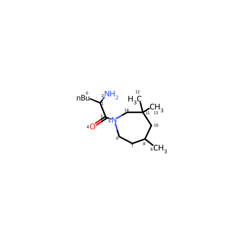 CCCCC(N)C(=O)N1CCC(C)CC(C)(C)C1